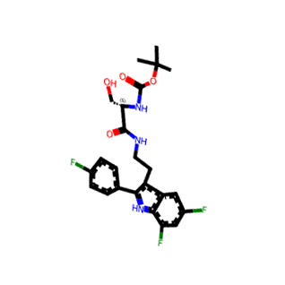 CC(C)(C)OC(=O)N[C@@H](CO)C(=O)NCCc1c(-c2ccc(F)cc2)[nH]c2c(F)cc(F)cc12